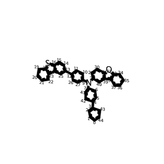 c1ccc(-c2ccc(N(c3ccc(-c4ccc5sc6ccccc6c5c4)cc3)c3ccc4oc5ccccc5c4c3)cc2)cc1